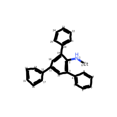 CCNc1c(-c2ccccc2)cc(-c2ccccc2)cc1-c1ccccc1